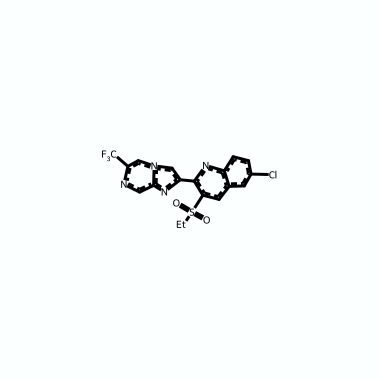 CCS(=O)(=O)c1cc2cc(Cl)ccc2nc1-c1cn2cc(C(F)(F)F)ncc2n1